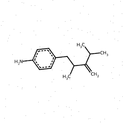 C=C(C(C)C)C(C)Cc1ccc(N)cc1